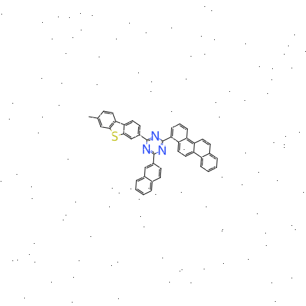 Cc1ccc2c(c1)sc1cc(-c3nc(-c4ccc5ccccc5c4)nc(-c4cccc5c4ccc4c6ccccc6ccc54)n3)ccc12